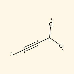 [CH2]C#CC(Cl)Cl